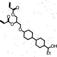 C=CC(=O)OCC(COC1CCC(C2CCC(C(O)CC)CC2)CC1)OC(=O)C=C